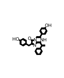 C=C(c1ccccc1)c1[nH]c(-c2ccc(O)cc2)cn2c(=O)c(Cc3ccc(O)cc3)nc1-2